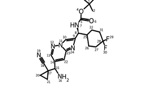 CC(C)(C)OC(=O)N[C@H](c1cn2ncc(C(N)C3(C#N)CC3)cc2n1)C1CCC(F)(F)CC1